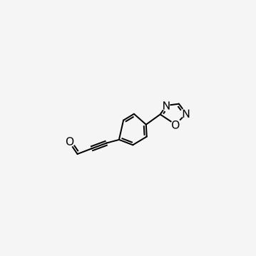 O=CC#Cc1ccc(-c2ncno2)cc1